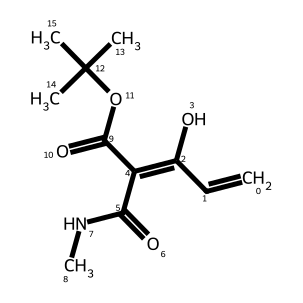 C=C/C(O)=C(\C(=O)NC)C(=O)OC(C)(C)C